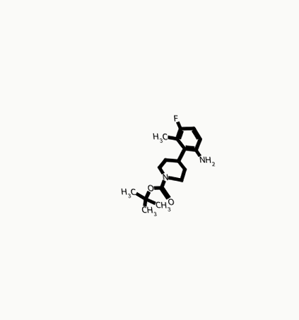 Cc1c(F)ccc(N)c1C1CCN(C(=O)OC(C)(C)C)CC1